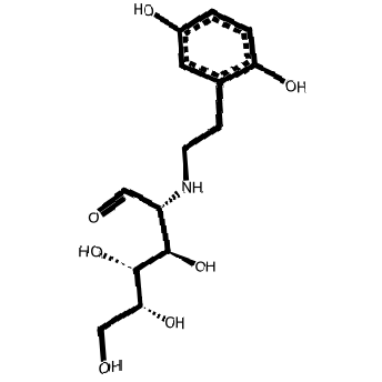 O=C[C@H](NCCc1cc(O)ccc1O)[C@@H](O)[C@@H](O)[C@H](O)CO